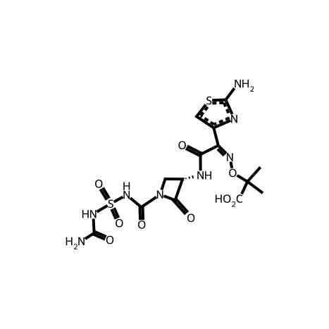 CC(C)(ON=C(C(=O)N[C@H]1CN(C(=O)NS(=O)(=O)NC(N)=O)C1=O)c1csc(N)n1)C(=O)O